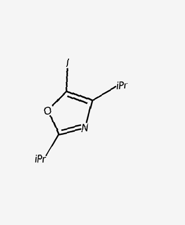 CC(C)c1nc(C(C)C)c(I)o1